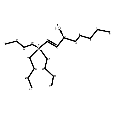 CCCCC[C@H](O)/C=[CH]/[Sn]([CH2]CCC)([CH2]CCC)[CH2]CCC